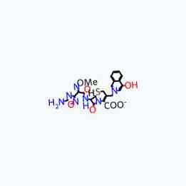 CO/N=C(\C(=O)NC1C(=O)N2C(C(=O)[O-])=C(C[n+]3cc(O)c4ccccc4c3)CS[C@H]12)c1noc(N)n1